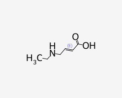 CCNC/C=C/C(=O)O